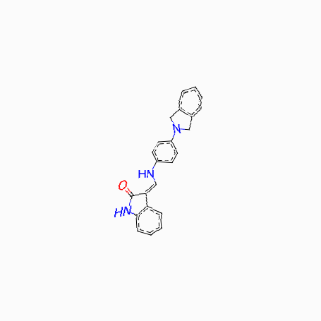 O=C1Nc2ccccc2C1=CNc1ccc(N2Cc3ccccc3C2)cc1